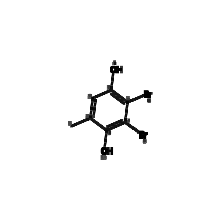 Cc1cc(O)c(Br)c(Br)c1O